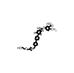 Cc1ccc(Oc2nc3c(F)c(-c4ccc(-c5ccc(CN6CC(COCCO)C6)cc5)cc4)c(F)cc3[nH]2)cc1C(=O)O